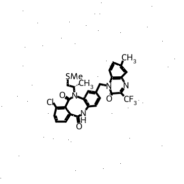 CSC[C@H](C)N1C(=O)c2c(Cl)cccc2C(=O)Nc2ccc(Cn3c(=O)c(C(F)(F)F)nc4cc(C)ccc43)cc21